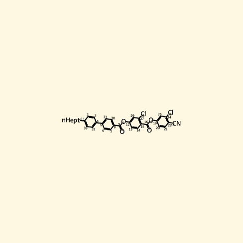 CCCCCCCc1ccc(-c2ccc(C(=O)Oc3ccc(C(=O)Oc4ccc(C#N)c(Cl)c4)c(Cl)c3)cc2)cc1